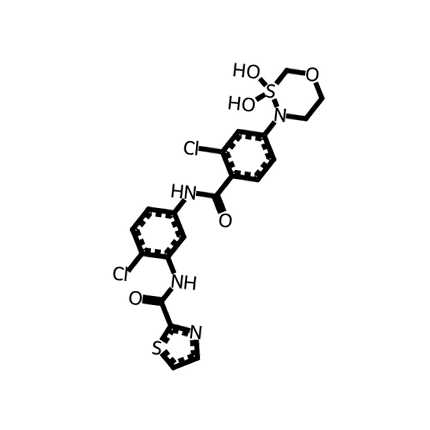 O=C(Nc1cc(NC(=O)c2ccc(N3CCOCS3(O)O)cc2Cl)ccc1Cl)c1nccs1